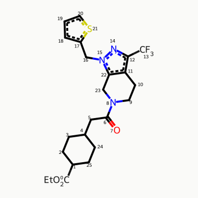 CCOC(=O)C1CCC(CC(=O)N2CCc3c(C(F)(F)F)nn(Cc4cccs4)c3C2)CC1